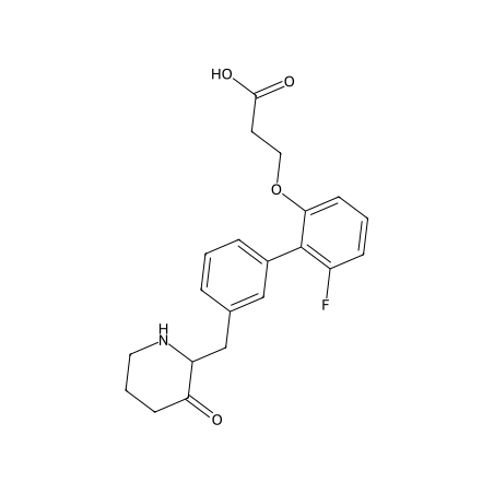 O=C(O)CCOc1cccc(F)c1-c1cccc(CC2NCCCC2=O)c1